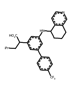 CC(C)CC(C(=O)O)c1cc(NC2CCCc3cnccc32)cc(-c2ccc(C(F)(F)F)cc2)c1